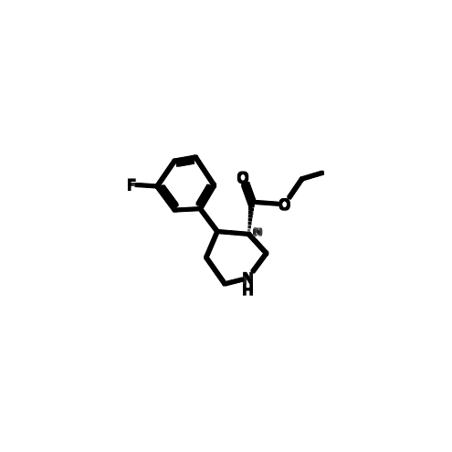 CCOC(=O)[C@@H]1CNCCC1c1cccc(F)c1